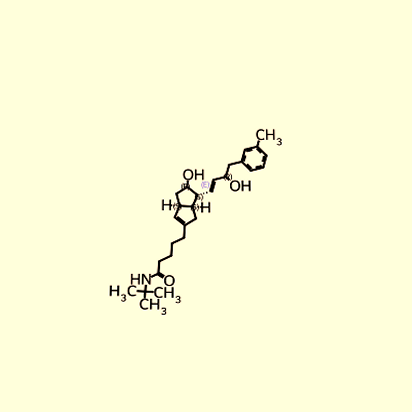 Cc1cccc(C[C@@H](O)/C=C/[C@@H]2[C@H]3CC(CCCCC(=O)NC(C)(C)C)=C[C@H]3C[C@H]2O)c1